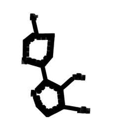 CCCCc1ccnc(-c2ccc(Br)cn2)c1CCCC